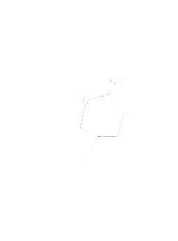 NC1CCC(F)CN1C(=O)O